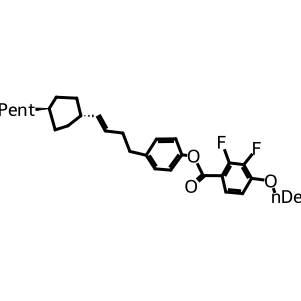 CCCCCCCCCCOc1ccc(C(=O)Oc2ccc(CC/C=C/[C@H]3CC[C@H](CCCCC)CC3)cc2)c(F)c1F